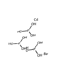 OP(O)O.OP(O)O.OP(O)O.[Ba].[Cd]